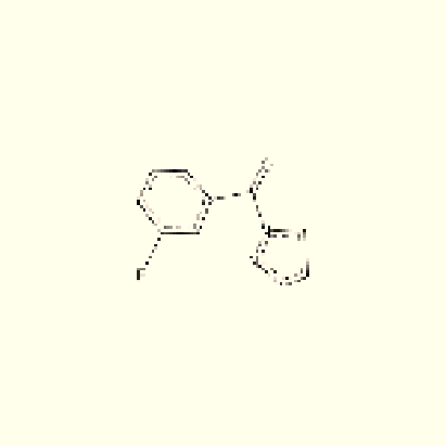 O=C(c1cccc(F)c1)n1cccn1